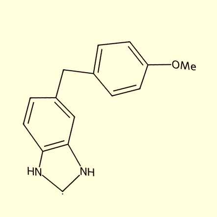 COc1ccc(Cc2ccc3c(c2)N[CH]N3)cc1